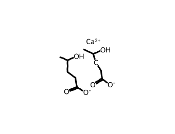 CC(O)CCC(=O)[O-].CC(O)CCC(=O)[O-].[Ca+2]